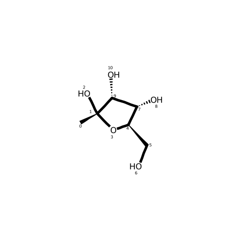 C[C@]1(O)O[C@H](CO)[C@@H](O)[C@H]1O